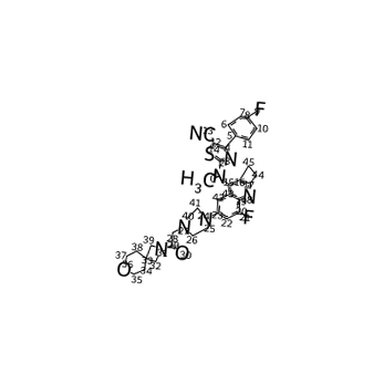 CN(c1nc(-c2ccc(F)cc2)c(C#N)s1)c1c2c(nc3c(F)cc(N4CCN(CC(=O)N5CC6(CCOCC6)C5)CC4)cc13)CC2